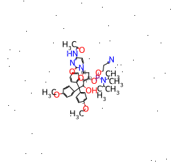 COc1ccc(C(c2ccccc2)(c2ccc(OC)cc2)C(O)[C@H]2O[C@@H](n3ccc(NC(C)=O)nc3=O)C[C@@H]2OP(OCCC#N)N(C(C)C)C(C)C)cc1